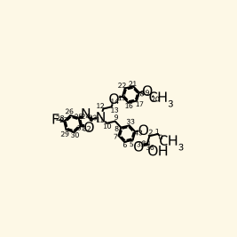 CCC(Oc1cccc(CCN(CCOc2ccc(OC)cc2)c2nc3cc(F)ccc3o2)c1)C(=O)O